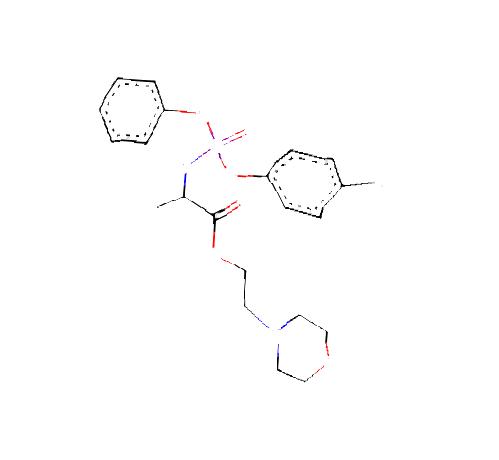 CC(NP(=O)(Oc1ccccc1)Oc1ccc([N+](=O)[O-])cc1)C(=O)OCCN1CCOCC1